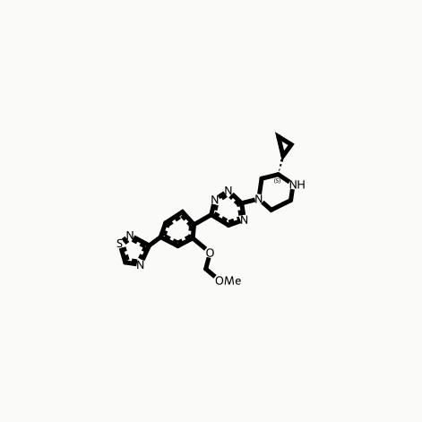 COCOc1cc(-c2ncsn2)ccc1-c1cnc(N2CCN[C@@H](C3CC3)C2)nn1